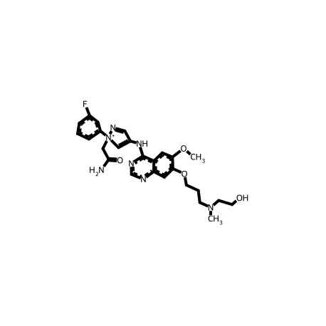 COc1cc2c(NC3=C[N+](CC(N)=O)(c4cccc(F)c4)N=C3)ncnc2cc1OCCCN(C)CCO